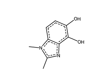 Cc1nc2c(O)c(O)ccc2n1C